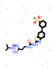 CC(C)N/N=N\C(=N)CCNC(=O)Nc1nc2ccc(-c3cccc(S(C)(=O)=O)c3)cc2s1